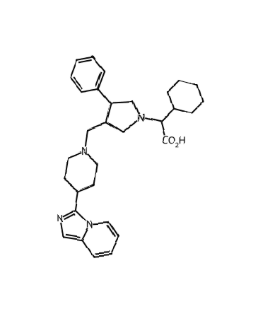 O=C(O)C(C1CCCCC1)N1CC(CN2CCC(c3ncc4ccccn34)CC2)C(c2ccccc2)C1